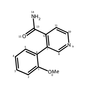 COc1ccccc1-c1cnccc1C(N)=O